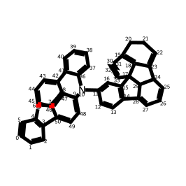 c1ccc2c(c#1)sc1cc(N(c3ccc4c(c3)C35C6=C(CCC=C6C6C=CC=C4C63)c3ccccc35)c3ccccc3-c3ccccc3)ccc12